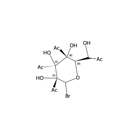 CC(=O)C(O)[C@H]1OC(Br)[C@@](O)(C(C)=O)[C@](O)(C(C)=O)[C@@]1(O)C(C)=O